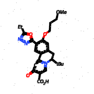 CCc1nnc(-c2cc3c(cc2OCCCOC)CC(C(C)(C)C)n2cc(C(=O)O)c(=O)cc2-3)o1